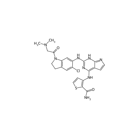 CN(C)CC(=O)N1CCc2cc(Cl)c(Nc3nc(Nc4ccsc4C(N)=O)c4ccnc-4[nH]3)cc21